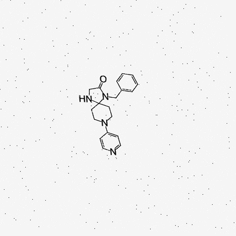 O=C1CNC2(CCN(c3ccncc3)CC2)N1Cc1ccccc1